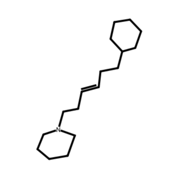 C(=CCCN1CCCCC1)CCC1CCCCC1